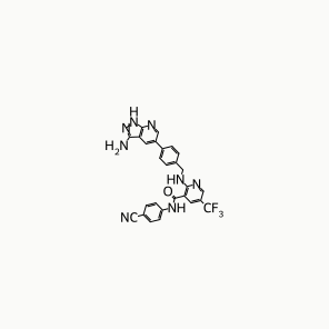 N#Cc1ccc(NC(=O)c2cc(C(F)(F)F)cnc2NCc2ccc(-c3cnc4[nH]nc(N)c4c3)cc2)cc1